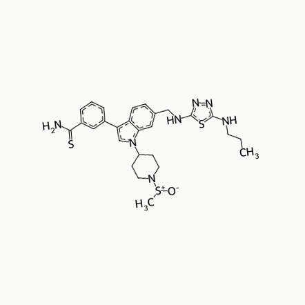 CCCNc1nnc(NCc2ccc3c(-c4cccc(C(N)=S)c4)cn(C4CCN([S+](C)[O-])CC4)c3c2)s1